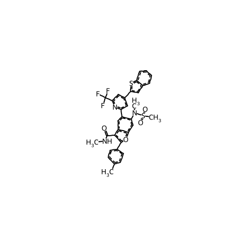 CNC(=O)c1c(-c2ccc(C)cc2)oc2cc(N(C)S(C)(=O)=O)c(-c3cc(-c4cc5ccccc5s4)cc(C(F)(F)F)n3)cc12